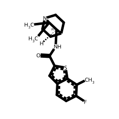 Cc1c(F)ccc2cc(C(=O)N[C@@H]3C4CCN(CC4)C3(C)C)sc12